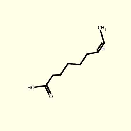 C/C=C\CCCCCC(=O)O